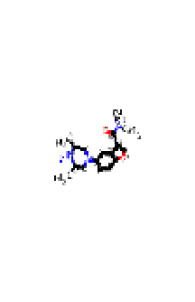 CC1CN(c2ccc3occ(C(=O)N(C)C)c3c2)CC(C)N1